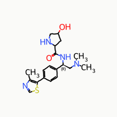 Cc1ncsc1-c1ccc([C@H](CN(C)C)NC(=O)C2CC(O)CN2)cc1